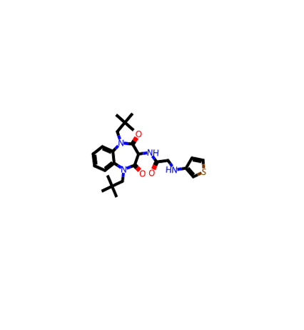 CC(C)(C)CN1C(=O)C(NC(=O)CNc2ccsc2)C(=O)N(CC(C)(C)C)c2ccccc21